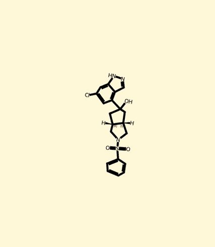 O=S(=O)(c1ccccc1)N1C[C@@H]2CC(O)(c3cc(Cl)cc4[nH]ncc34)C[C@@H]2C1